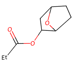 CCC(=O)OC1CC2CCC1O2